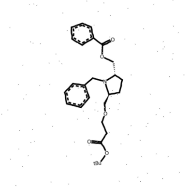 CC(C)(C)OC(=O)CCOC[C@@H]1CC[C@@H](COC(=O)c2ccccc2)N1Cc1ccccc1